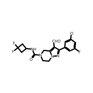 O=Cc1c(-c2cc(F)cc(Cl)c2)nn2c1CN(C(=O)NC1CC(F)(F)C1)CC2